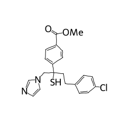 COC(=O)c1ccc(C(S)(CCc2ccc(Cl)cc2)Cn2ccnc2)cc1